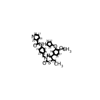 CCC1SC(=O)N(Cc2ccc(NC(=O)c3cccnc3)cc2)N=C1c1ccc(OC)c(OC2CCCC2)c1